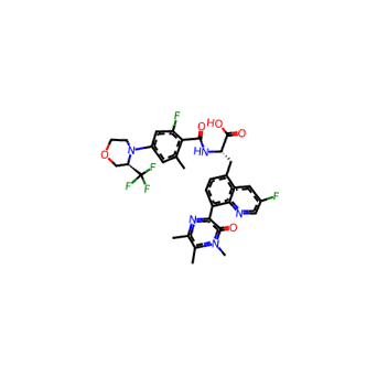 Cc1cc(N2CCOC[C@@H]2C(F)(F)F)cc(F)c1C(=O)N[C@@H](Cc1ccc(-c2nc(C)c(C)n(C)c2=O)c2ncc(F)cc12)C(=O)O